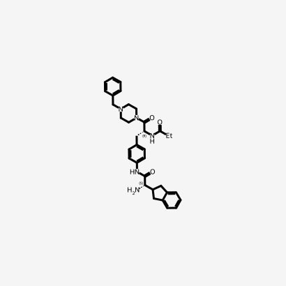 CCC(=O)N[C@H](Cc1ccc(NC(=O)[C@@H](N)C2Cc3ccccc3C2)cc1)C(=O)N1CCN(Cc2ccccc2)CC1